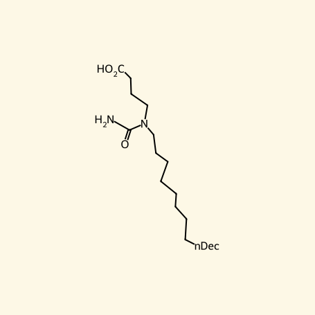 CCCCCCCCCCCCCCCCCCN(CCCC(=O)O)C(N)=O